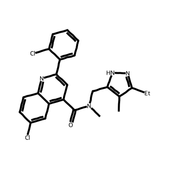 CCc1n[nH]c(CN(C)C(=O)c2cc(-c3ccccc3Cl)nc3ccc(Cl)cc23)c1C